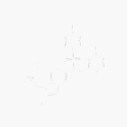 CCCc1nc2cc(N(Cc3cccc(Cl)c3)S(=O)(=O)c3ccc(F)cc3)ccc2n1CC(=O)OC(C)(C)C